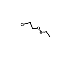 CC[B]OCCCl